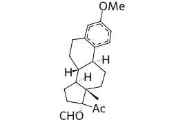 COc1ccc2c(c1)CC[C@@H]1[C@@H]2CC[C@@]2(C)[C@H]1CC[C@]2(C=O)C(C)=O